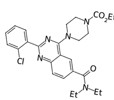 CCOC(=O)N1CCN(c2nc(-c3ccccc3Cl)nc3ccc(C(=O)N(CC)CC)cc23)CC1